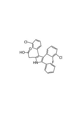 O=C(O)Cc1[nH]c(-c2ccccc2)c(-c2cccc(Cl)c2F)c1-c1cccc(Cl)c1